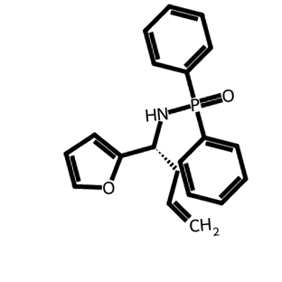 C=CC[C@@H](NP(=O)(c1ccccc1)c1ccccc1)c1ccco1